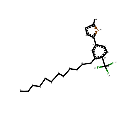 CCCCCCCCCCCCc1cc(-c2ccc(C)s2)ccc1C(F)(F)F